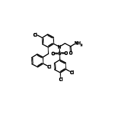 NC(=O)CN(c1ccc(Cl)cc1Cc1ccccc1Cl)S(=O)(=O)c1ccc(Cl)c(Cl)c1